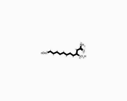 CCCCCCCCCCCCCCCCCCC(CC(N)=O)S(=O)(=O)O